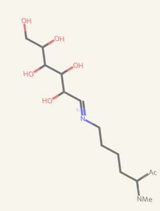 CNC(CCCC/N=C/C(O)C(O)C(O)C(O)CO)C(C)=O